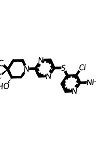 CC[C@@]1(C)CCN(c2cnc(Sc3ccnc(N)c3Cl)cn2)C[C@@H]1O